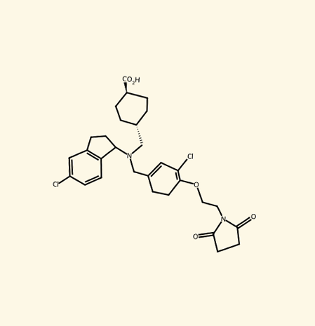 O=C1CCC(=O)N1CCOC1=C(Cl)C=C(CN(C[C@H]2CC[C@H](C(=O)O)CC2)C2CCc3cc(Cl)ccc32)CC1